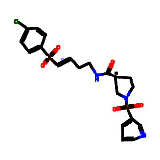 O=C(NCC/C=C/S(=O)(=O)c1ccc(Cl)cc1)[C@H]1CCN(S(=O)(=O)c2cccnc2)C1